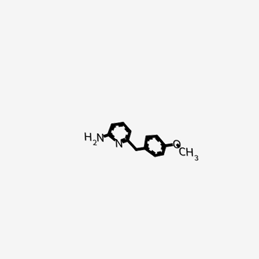 COc1ccc(Cc2cccc(N)n2)cc1